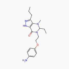 CCCc1n[nH]c2c1N(C)C(CC)N(CCOc1ccc(N)cc1)C2=O